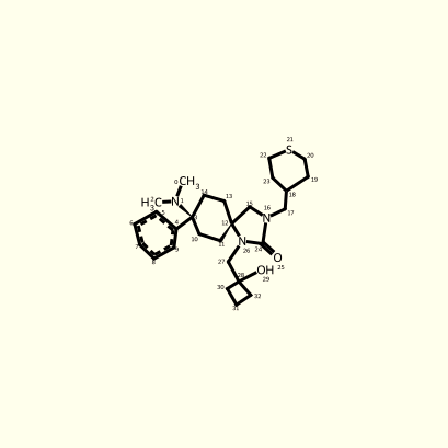 CN(C)[C@]1(c2ccccc2)CC[C@@]2(CC1)CN(CC1CCSCC1)C(=O)N2CC1(O)CCC1